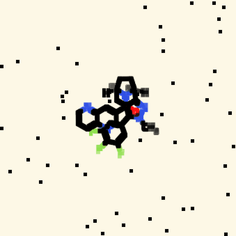 Cn1nc2c(c1-c1cc(F)c(F)c(F)c1)C[C@H]1CC[C@@H]2N1C(=O)c1cnc2cccnc2c1